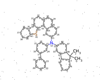 CC1(C)c2ccccc2-c2cc(N(c3cccc(-c4ccccc4)c3)c3ccc4ccc5ccc6c7ccccc7sc6c5c4c3)ccc21